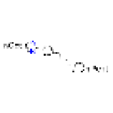 CCCCCCCCc1cnc(-c2ccc(CCCC[C@H]3CC[C@H](CCCCC)CC3)cc2)nc1